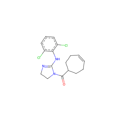 O=C(C1CCC=CCC1)N1CCN=C1Nc1c(Cl)cccc1Cl